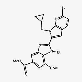 CCc1ccc2cc(-c3nc4cc(C(=O)OC)cc(OC)c4n3CC)n(CC3CC3)c2n1